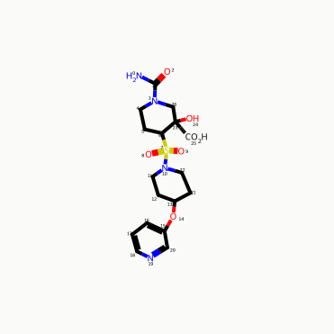 NC(=O)N1CCC(S(=O)(=O)N2CCC(Oc3cccnc3)CC2)C(O)(C(=O)O)C1